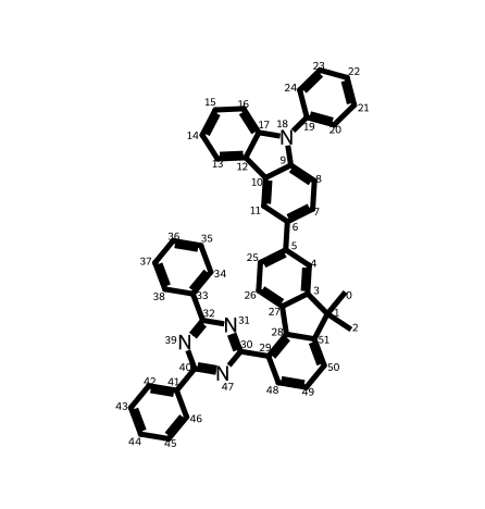 CC1(C)c2cc(-c3ccc4c(c3)c3ccccc3n4-c3ccccc3)ccc2-c2c(-c3nc(-c4ccccc4)nc(-c4ccccc4)n3)cccc21